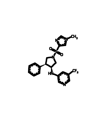 Cn1cnc(S(=O)(=O)N2C[C@@H](Nc3cncc(C(F)(F)F)c3)[C@H](c3ccccc3)C2)c1